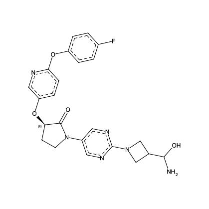 NC(O)C1CN(c2ncc(N3CC[C@@H](Oc4ccc(Oc5ccc(F)cc5)nc4)C3=O)cn2)C1